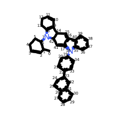 CC1C=CCCC1N1C2=C(C=CCC2)C2C=c3c(n(-c4ccc(-c5ccc6ccccc6c5)cc4)c4ccccc34)=CC21